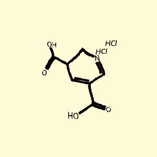 Cl.Cl.O=C(O)C1=CC(C(=O)O)CN=C1